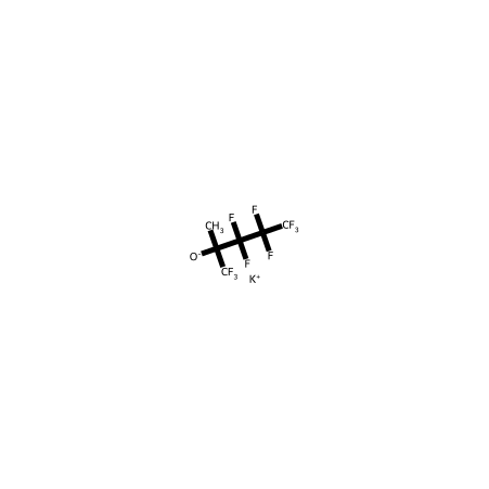 CC([O-])(C(F)(F)F)C(F)(F)C(F)(F)C(F)(F)F.[K+]